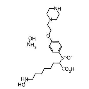 NO.O=C(O)C(CCCCCCNO)[S+]([O-])c1ccc(OCCN2CCNCC2)cc1